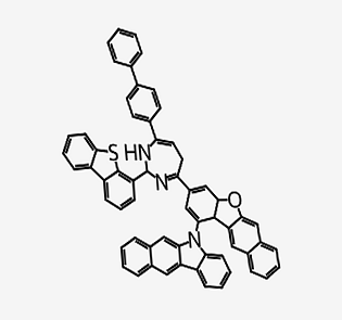 C1=C(C2=NC(c3cccc4c3sc3ccccc34)NC(c3ccc(-c4ccccc4)cc3)=CC2)C=C(n2c3ccccc3c3cc4ccccc4cc32)C2c3cc4ccccc4cc3OC12